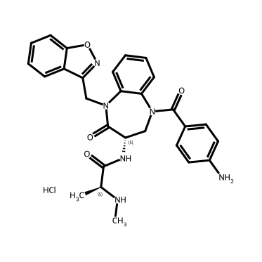 CN[C@@H](C)C(=O)N[C@H]1CN(C(=O)c2ccc(N)cc2)c2ccccc2N(Cc2noc3ccccc23)C1=O.Cl